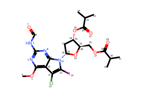 COc1nc(NC=O)nc2c1c(Cl)c(I)n2[C@@H]1C[C@H](OC(=O)C(C)C)[C@@H](COC(=O)C(C)C)O1